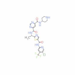 C[C@@H](NC(=O)c1cc(C(=O)NC2CCNCC2)ncn1)c1ncc(C(=O)Nc2cc(C(F)(F)F)c(Cl)cn2)s1